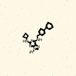 CC(C)n1cnc2c(NCc3ccc(-c4ccccc4)cc3)nc(NC3CCC3)nc21